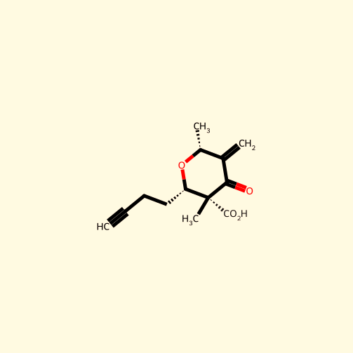 C#CCC[C@@H]1O[C@H](C)C(=C)C(=O)[C@]1(C)C(=O)O